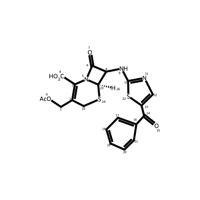 CC(=O)OCC1=C(C(=O)O)N2C(=O)C(Nc3ncc(C(=O)c4ccccc4)s3)[C@H]2SC1